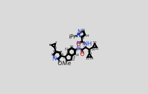 COc1ncc(C2CC2)cc1C1CCc2cc(NC(=O)[C@@H](NC(=O)c3ccnn3C(C)C)C(C3CC3)C3CC3)ccc21